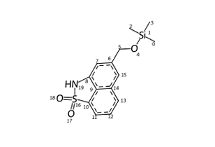 C[Si](C)(C)OCc1cc2c3c(cccc3c1)S(=O)(=O)N2